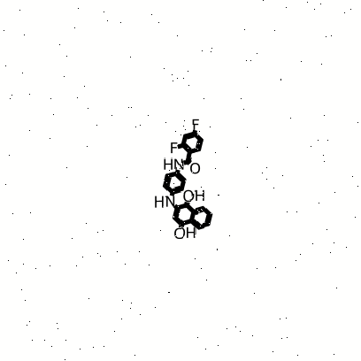 O=C(Nc1ccc(NC2=CC(O)c3ccccc3C2O)cc1)c1ccc(F)cc1F